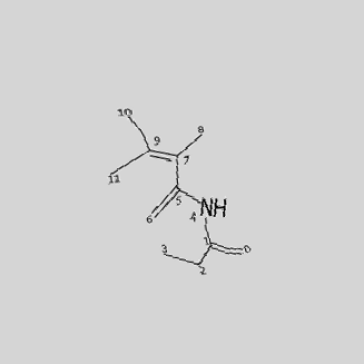 C=C(CC)NC(=C)C(C)=C(C)C